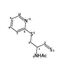 CC(=O)NC(C=S)CSc1ccccn1